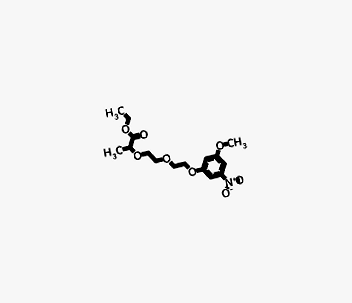 CCOC(=O)C(C)OCCOCCOc1cc(OC)cc([N+](=O)[O-])c1